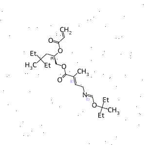 C=CC(=O)O[C@@H](COC(=O)/C(C)=C/C/N=C/OC(C)(CC)CC)CC(C)(CC)CC